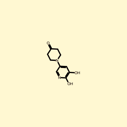 O=C1CCN(c2cnc(O)c(O)c2)CC1